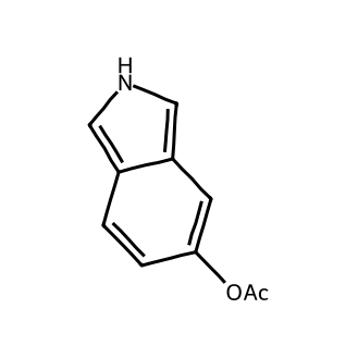 CC(=O)Oc1ccc2c[nH]cc2c1